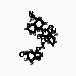 C[C@]12CC[C@](CCOc3noc4ccc(Cl)cc34)(O1)[C@@H]1C(=O)N(c3ccc(C#N)c4ncccc34)C(=O)[C@@H]12